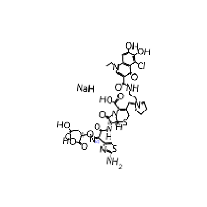 CCn1cc(C(=O)NCC[N+]2(CC3=C(C(=O)O)N4C(=O)[C@@H](NC(=O)/C(=N\O[C@@H](CC(=O)O)C(=O)O)c5csc(N)n5)[C@H]4SC3)CCCC2)c(=O)c2c(Cl)c(O)c(O)cc21.[NaH]